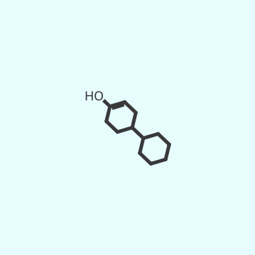 OC1=CCC(C2CCCCC2)CC1